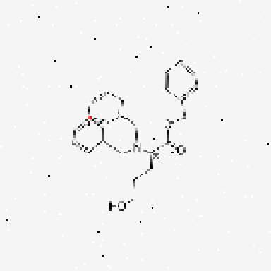 O=C(OCc1ccccc1)[C@@H](CCCO)N(Cc1ccccc1)Cc1ccccc1